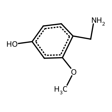 COc1cc(O)ccc1CN